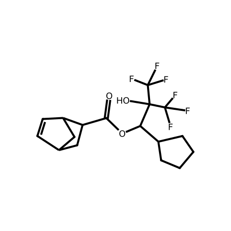 O=C(OC(C1CCCC1)C(O)(C(F)(F)F)C(F)(F)F)C1CC2C=CC1C2